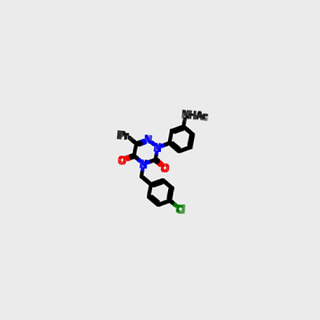 CC(=O)Nc1cccc(-n2nc(C(C)C)c(=O)n(Cc3ccc(Cl)cc3)c2=O)c1